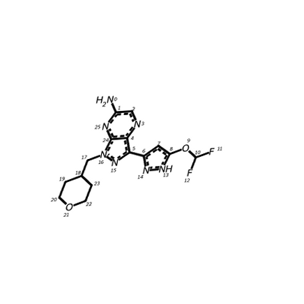 Nc1cnc2c(-c3cc(OC(F)F)[nH]n3)nn(CC3CCOCC3)c2n1